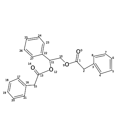 O=C(Cc1ccccc1)OCC(OC(=O)Cc1ccccc1)c1ccccc1